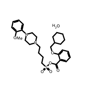 COc1ccccc1N1CCN(CCCCS(=O)(=O)OC(=O)c2ccccc2OCC2CCCCC2)CC1.O